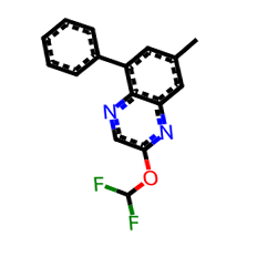 Cc1cc(-c2ccccc2)c2ncc(OC(F)F)nc2c1